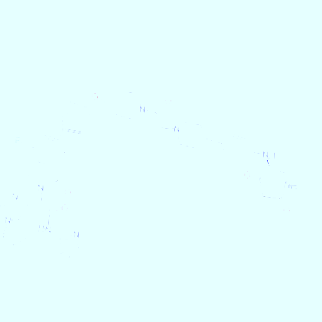 O=C1CC(=O)[C@@H](Nc2ccc(C3CCN(CC(=O)N4CCC(Oc5ccc(-c6cc(F)c7c(c6)C(=O)N(C(C(=O)Nc6nccs6)c6ncn8c6CCC8)C7)cc5)CC4)CC3)cc2)CN1